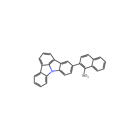 O=[N+]([O-])c1c(-c2ccc3c(c2)c2cccc4c5ccccc5n3c42)ccc2ccccc12